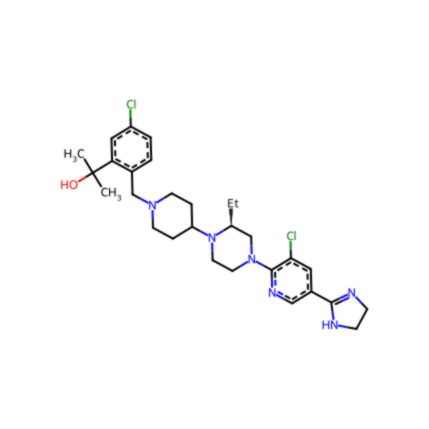 CC[C@H]1CN(c2ncc(C3=NCCN3)cc2Cl)CCN1C1CCN(Cc2ccc(Cl)cc2C(C)(C)O)CC1